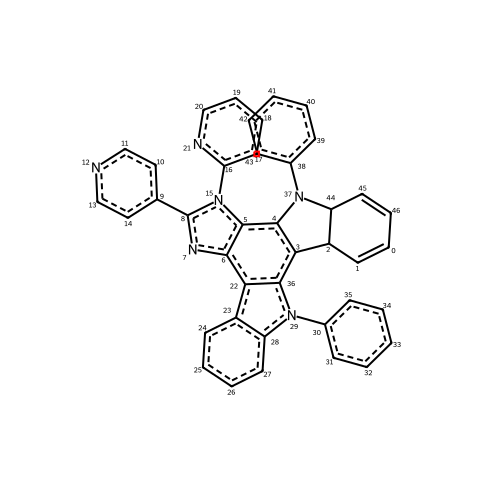 C1=CC2c3c(c4c(nc(-c5ccncc5)n4-c4ccccn4)c4c5ccccc5n(-c5ccccc5)c34)N(c3ccccc3)C2C=C1